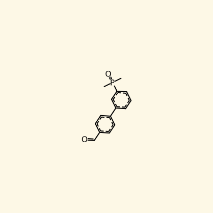 CP(C)(=O)c1cccc(-c2ccc(C=O)cc2)c1